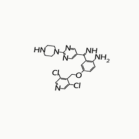 N=C(c1cnc(N2CCNCC2)nc1)c1cc(OCc2c(Cl)cncc2Cl)ccc1N